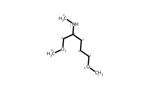 CNC(CCCOC)COC